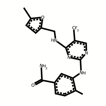 Cc1ccc(CNc2nc(Nc3cc(C(N)=O)ccc3C)ncc2C(F)(F)F)o1